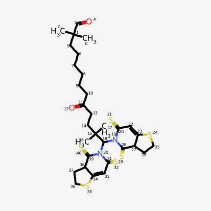 CC(C)(C=O)CCCCCCC(=O)CCC(C)(C)C(N1C(=S)C=C2SCCC2C1=S)N1C(=S)C=C2SCCC2C1=S